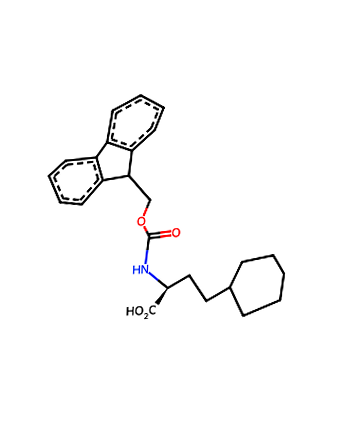 O=C(N[C@@H](CCC1CCCCC1)C(=O)O)OCC1c2ccccc2-c2ccccc21